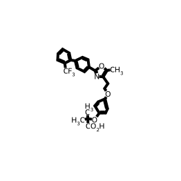 Cc1oc(-c2ccc(-c3ccccc3C(F)(F)F)cc2)nc1CCOc1ccc(OC(C)(C)C(=O)O)cc1